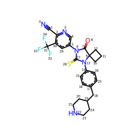 N#Cc1ncc(N2C(=O)C3(CCC3)N(c3ccc(CC4CCNCC4)cc3)C2=S)cc1C(F)(F)F